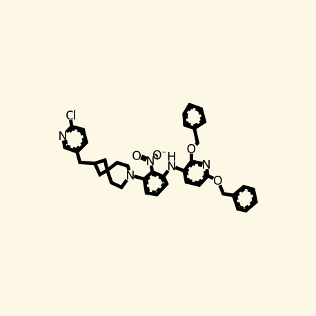 O=[N+]([O-])c1c(Nc2ccc(OCc3ccccc3)nc2OCc2ccccc2)cccc1N1CCC2(CC1)CC(Cc1ccc(Cl)nc1)C2